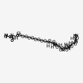 Cc1noc(C)c1-c1ccn2c(NC3CCCCC3)c(CCc3ccc(OCCOCCOCCOCCOCCOCCOCCOCCOCCNC(=O)CCNC(=O)c4nc(NC(=O)CCNC(=O)c5cc(NC(=O)c6nc(NC(=O)CCNC(=O)c7cc(NC(=O)c8nccn8C)cn7C)cn6C)cn5C)cn4C)c(Cl)c3)nc2c1